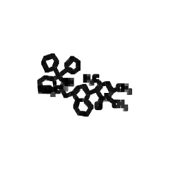 Cc1cc(C)n(C)c(=O)c1-c1ccc(C[C@H](NC(c2ccccc2)(c2ccccc2)c2ccccc2)C(=O)O)c2ccccc12